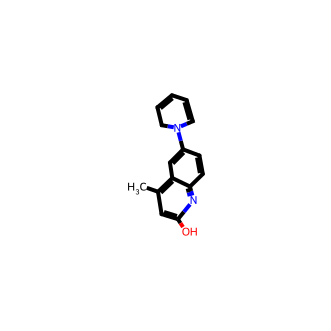 Cc1cc(O)nc2ccc(N3C=CC=CC3)cc12